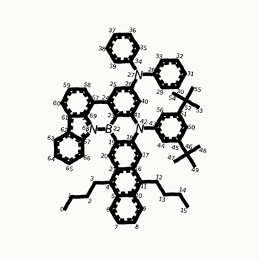 CCCCc1c2ccccc2c(CCCC)c2cc3c(cc12)B1c2c(cc(N(c4ccccc4)c4ccccc4)cc2N3c2cc(C(C)(C)C)cc(C(C)(C)C)c2)-c2cccc3c4ccccc4n1c23